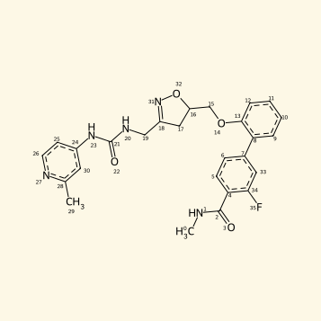 CNC(=O)c1ccc(-c2ccccc2OCC2CC(CNC(=O)Nc3ccnc(C)c3)=NO2)cc1F